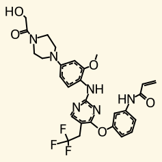 C=CC(=O)Nc1cccc(Oc2nc(Nc3ccc(N4CCN(C(=O)CO)CC4)cc3OC)ncc2CC(F)(F)F)c1